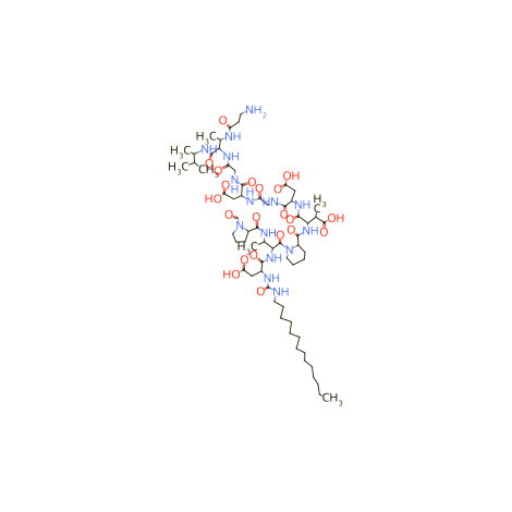 CCCCCCCCCCCCCCNC(=O)NC(CC(=O)O)C(=O)NC(C(=O)N1CCCCC1C(=O)NC(C(=O)NC(CC(=O)O)C(=O)NCC(=O)NC(CC(=O)O)C(=O)NCC(=O)NC(C(=O)NC(C)C(C)C)C(C)NC(=O)CCN)C(C)C(=O)O)C(C)NC(=O)C1CCCN1C=O